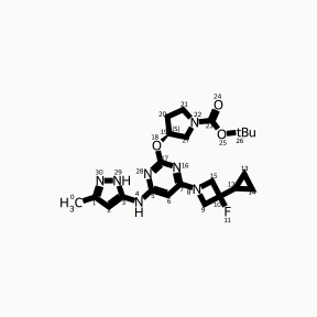 Cc1cc(Nc2cc(N3CC(F)(C4CC4)C3)nc(O[C@H]3CCN(C(=O)OC(C)(C)C)C3)n2)[nH]n1